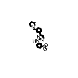 O=[N+]([O-])c1cccc(Nc2nccc(-c3cccc(CN4C[CH]CCC4)c3)n2)c1